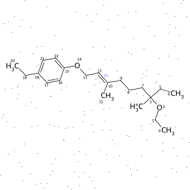 CCOC(C)(CC)CCC/C(C)=C/COc1ccc(CC)cc1